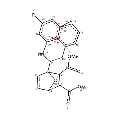 COC(=O)C1=C(C(=O)OC)C2(C(Cc3ccccc3F)Nc3cc(F)cc(F)c3)C=CC1O2